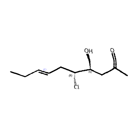 CC/C=C/C[C@@H](Cl)[C@@H](O)CC(C)=O